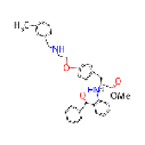 COC(=O)[C@H](Cc1ccc(OCCNCc2cccc(C)c2)cc1)Nc1ccccc1C(=O)c1ccccc1